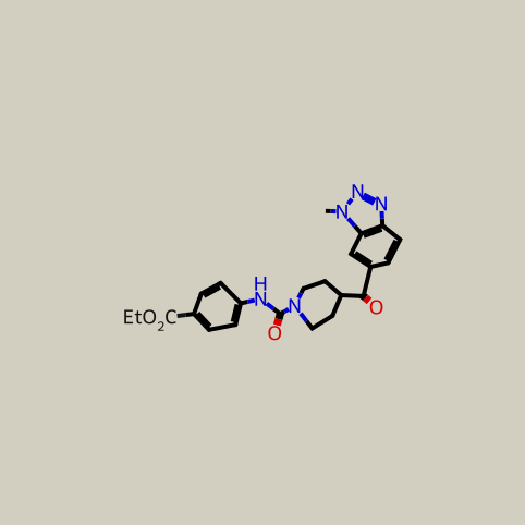 CCOC(=O)c1ccc(NC(=O)N2CCC(C(=O)c3ccc4nnn(C)c4c3)CC2)cc1